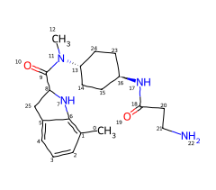 Cc1cccc2c1NC(C(=O)N(C)[C@H]1CC[C@H](NC(=O)CCN)CC1)C2